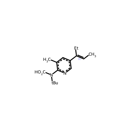 C/C=C(\CC)c1cnc(N(C(=O)O)C(C)(C)C)c(C)c1